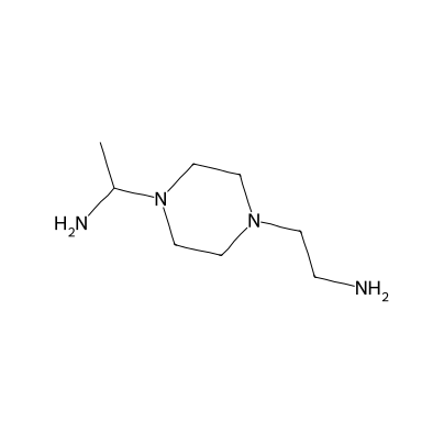 CC(N)N1CCN(CCN)CC1